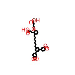 O=C(O)CCCOc1cccc(CCCCCCCc2cc(-c3ccc4c(c3)OCO4)cc(-c3ccc4c(c3)OCO4)c2)c1CCC(=O)O